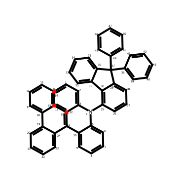 c1ccc(N(c2ccccc2-c2cc3ccccc3c3ccccc23)c2cccc3c2-c2ccccc2C3(c2ccccc2)c2ccccc2)cc1